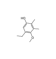 CCc1cc(O)c(C)c(C)c1OC